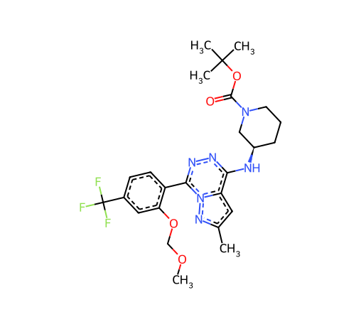 COCOc1cc(C(F)(F)F)ccc1-c1nnc(N[C@@H]2CCCN(C(=O)OC(C)(C)C)C2)c2cc(C)nn12